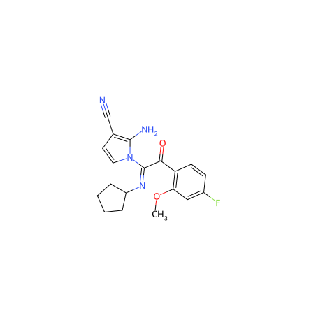 COc1cc(F)ccc1C(=O)C(=NC1CCCC1)n1ccc(C#N)c1N